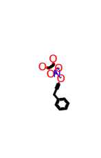 O=c1on(OC#CCc2ccccc2)oc1=O